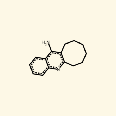 Nc1c2c(nc3ccccc13)CCCCCC2